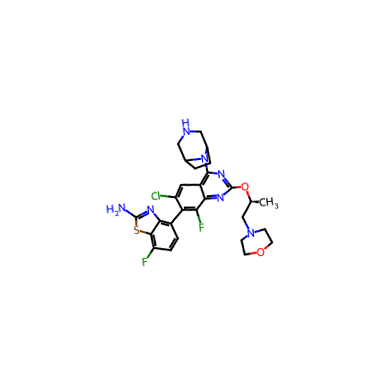 C[C@@H](CN1CCOCC1)Oc1nc(N2C3CCC2CNC3)c2cc(Cl)c(-c3ccc(F)c4sc(N)nc34)c(F)c2n1